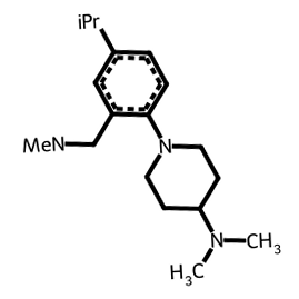 CNCc1cc(C(C)C)ccc1N1CCC(N(C)C)CC1